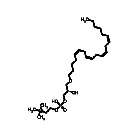 CCCCC/C=C\C/C=C\C/C=C\C/C=C\CCCCOC[C@H](O)COP(=O)(O)OCC[N+](C)(C)C